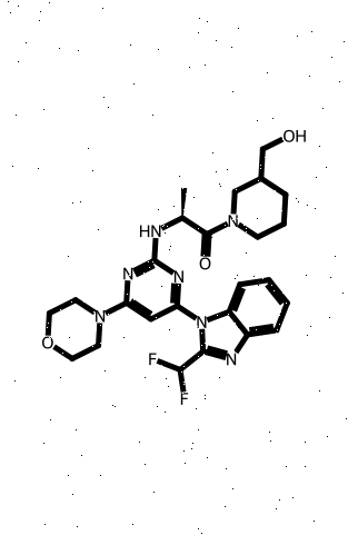 C[C@H](Nc1nc(N2CCOCC2)cc(-n2c(C(F)F)nc3ccccc32)n1)C(=O)N1CCCC(CO)C1